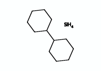 C1CCC(C2CCCCC2)CC1.[SiH4]